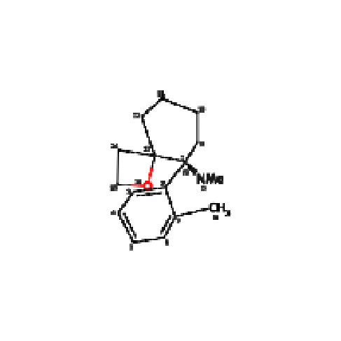 CN[C@]1(c2ccccc2C)CCCCC12CCO2